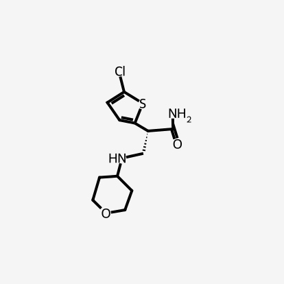 NC(=O)[C@H](CNC1CCOCC1)c1ccc(Cl)s1